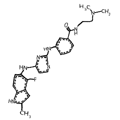 Cc1cc2c(F)c(Nc3ccnc(Nc4cccc(C(=O)NCCN(C)C)c4)n3)ccc2[nH]1